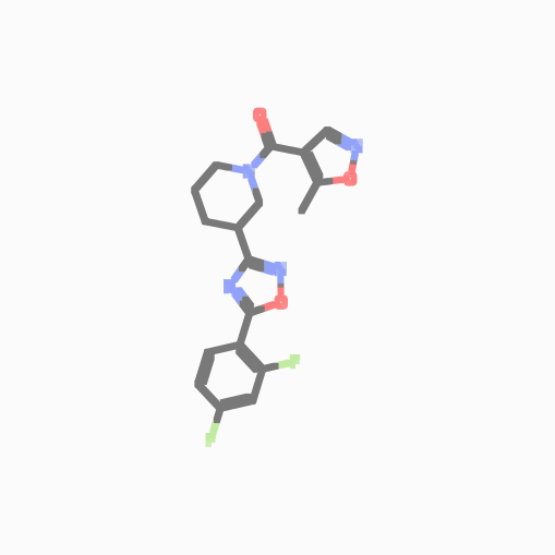 Cc1oncc1C(=O)N1CCCC(c2noc(-c3ccc(F)cc3F)n2)C1